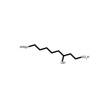 CCCCCCCCCCCCC(O)CCS(=O)(=O)O